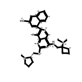 CN1CCC[C@H]1COc1nc(NCC2(N(C)C)CCC2)c2cnc(-c3cc(O)cc4ccccc34)c(F)c2n1